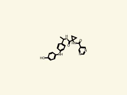 CC(NC(=O)C1(NC(=O)c2cncnc2)CC1)c1ccc(Nc2ccc(O)cc2)cc1